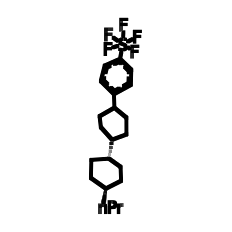 CCC[C@H]1CC[C@H](C2CCC(c3ccc(S(F)(F)(F)(F)F)cc3)CC2)CC1